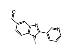 Cn1c(-c2cccnc2)nc2cc(C=O)ccc21